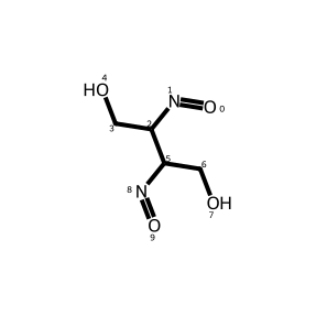 O=NC(CO)C(CO)N=O